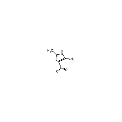 Cc1[c]c([N+](=O)[O-])c(C)[nH]1